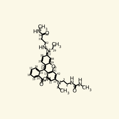 CCN(CCNC(=O)NC)c1ccc2c(-c3ccccc3C(=O)O)c3cc/c(=[N+](/CC)NCCC(=O)NC)cc-3oc2c1